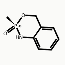 C[P@]1(=O)Nc2ccccc2CO1